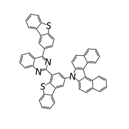 c1ccc2c(c1)ccc1c2c2c3ccccc3ccc2n1-c1cc(-c2nc(-c3ccc4sc5ccccc5c4c3)c3ccccc3n2)c2sc3ccccc3c2c1